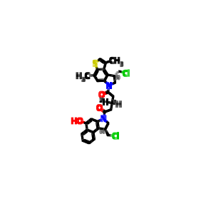 [2H]C([2H])(CC(=O)N1C[C@@H](CCl)c2c1cc(O)c1ccccc21)CC(=O)N1C[C@@H](CCl)c2c1cc(C)c1scc(C)c21